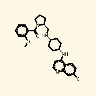 COc1ccccc1C(=O)N1CCC[C@H]1CN[C@H]1CC[C@@H](Nc2ccnc3cc(Cl)ccc23)CC1